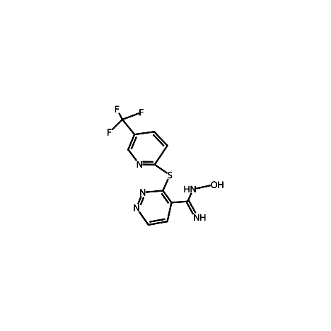 N=C(NO)c1ccnnc1Sc1ccc(C(F)(F)F)cn1